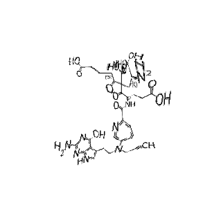 C#CCN(CCc1c[nH]c2nc(N)nc(O)c12)c1ccc(C(=O)N[C@@H](CCC(=O)O)C(=O)C(C[C@H](N)C(=O)O)(C(=O)O)C(=O)[C@@H](N)CCC(=O)O)nc1